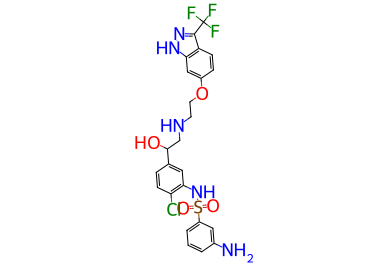 Nc1cccc(S(=O)(=O)Nc2cc(C(O)CNCCOc3ccc4c(C(F)(F)F)n[nH]c4c3)ccc2Cl)c1